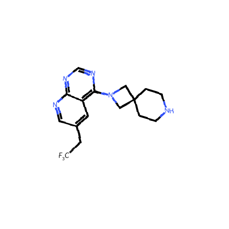 FC(F)(F)Cc1cnc2ncnc(N3CC4(CCNCC4)C3)c2c1